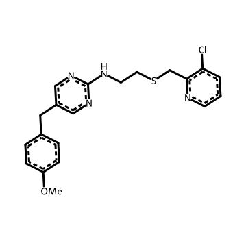 COc1ccc(Cc2cnc(NCCSCc3ncccc3Cl)nc2)cc1